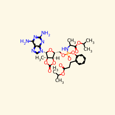 CC(C)OC(=O)CCc1ccccc1OP(=O)(NC(C)C(=O)OC(C)C)OC[C@H]1O[C@@H](n2cnc3c(N)nc(N)nc32)[C@]2(C)OC(=O)O[C@H]12